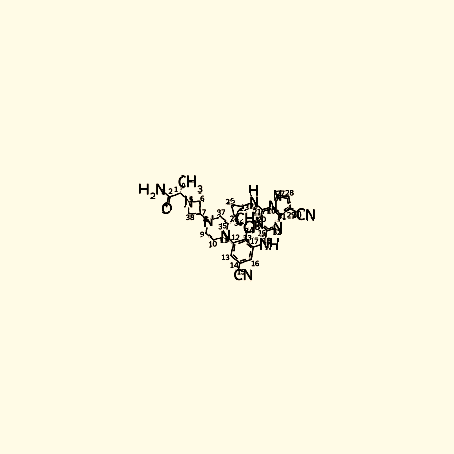 C[C@@H](C(N)=O)N1CC(N2CCN(c3cc(C#N)cc(Nc4nc(NC5CC5)n5ncc(C#N)c5n4)c3Cl)[C@@H](C)C2)C1